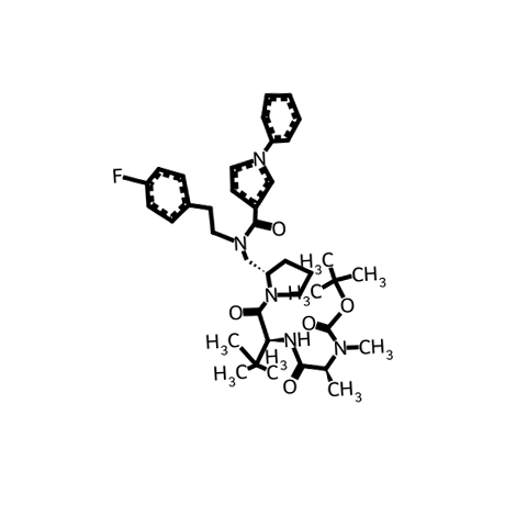 C[C@@H](C(=O)N[C@H](C(=O)N1CCC[C@H]1CN(CCc1ccc(F)cc1)C(=O)c1ccn(-c2ccccc2)c1)C(C)(C)C)N(C)C(=O)OC(C)(C)C